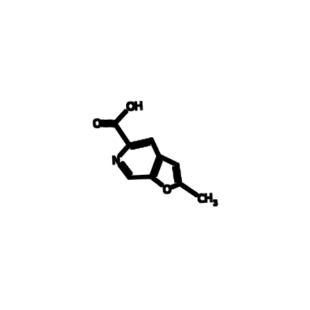 Cc1cc2cc(C(=O)O)ncc2o1